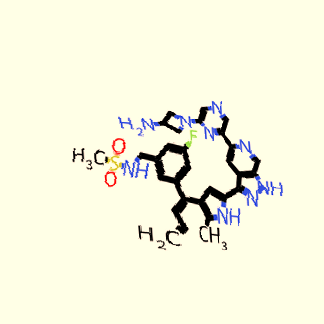 C=C/C=C(/c1cc(F)cc(CNS(C)(=O)=O)c1)c1cc(-c2n[nH]c3cnc(-c4cncc(N5CC(N)C5)n4)cc23)[nH]c1C